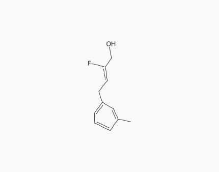 Cc1cccc(CC=C(F)CO)c1